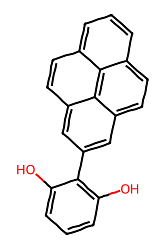 Oc1cccc(O)c1-c1cc2ccc3cccc4ccc(c1)c2c34